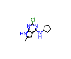 Cc1cc2c(NC3CCCC3)nc(Cl)nc2[nH]1